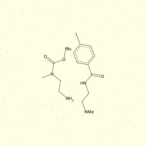 CN(CCN)C(=O)OC(C)(C)C.CNCCNC(=O)c1ccc(I)cc1